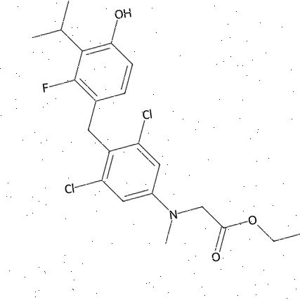 CCOC(=O)CN(C)c1cc(Cl)c(Cc2ccc(O)c(C(C)C)c2F)c(Cl)c1